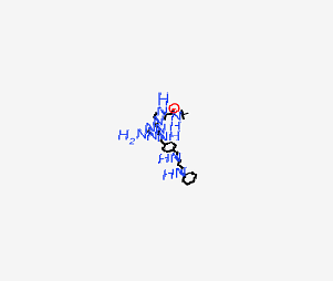 CC(C)(C)NC(=O)C1CN(c2nc(N)nc(NCC3CCC(CNCCCNC4CCCCC4)CC3)n2)CCN1